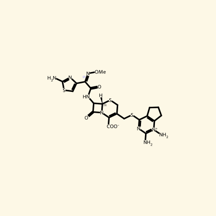 CO/N=C(\C(=O)NC1C(=O)N2C(C(=O)[O-])=C(CSc3nc(N)[n+](N)c4c3CCC4)CS[C@@H]12)c1csc(N)n1